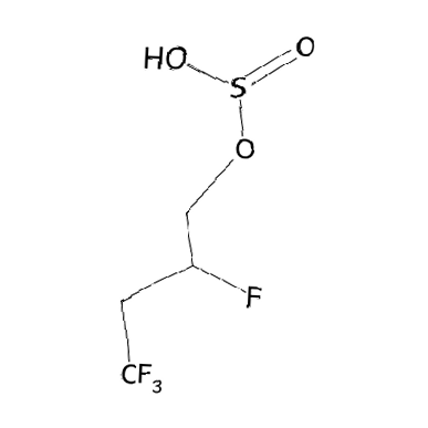 O=S(O)OCC(F)CC(F)(F)F